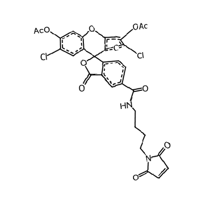 CC(=O)Oc1cc2c(cc1Cl)C1(OC(=O)c3cc(C(=O)NCCCCN4C(=O)C=CC4=O)ccc31)c1cc(Cl)c(OC(C)=O)cc1O2